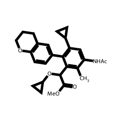 COC(=O)C(OC1CC1)c1c(C)c(NC(C)=O)cc(C2CC2)c1-c1ccc2c(c1)CCCO2